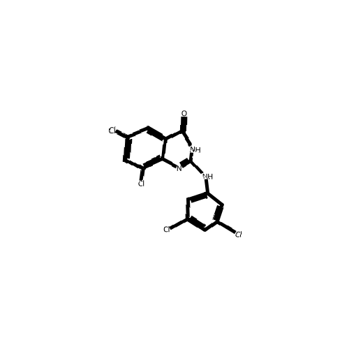 O=c1[nH]c(Nc2cc(Cl)cc(Cl)c2)nc2c(Cl)cc(Cl)cc12